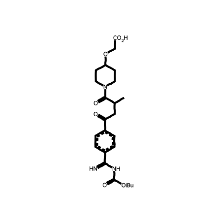 CC(C)COC(=O)NC(=N)c1ccc(C(=O)CC(C)C(=O)N2CCC(OCC(=O)O)CC2)cc1